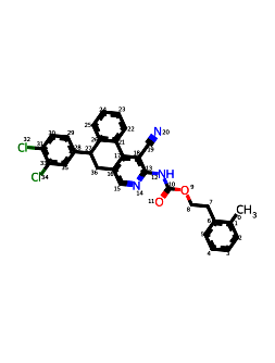 Cc1ccccc1CCOC(=O)Nc1ncc2c(c1C#N)-c1ccccc1C(c1ccc(Cl)c(Cl)c1)C2